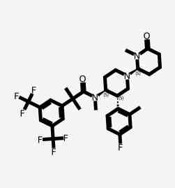 Cc1cc(F)ccc1[C@H]1CN([C@@H]2CCCC(=O)N2C)CC[C@@H]1N(C)C(=O)C(C)(C)c1cc(C(F)(F)F)cc(C(F)(F)F)c1